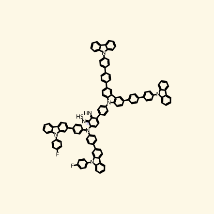 N=C1C(c2ccc(-n3c4ccc(-c5ccc(-c6ccc(-n7c8ccccc8c8ccccc87)cc6)cc5)cc4c4cc(-c5ccc(-c6ccc(-n7c8ccccc8c8ccccc87)cc6)cc5)ccc43)cc2)=CC=C(N(c2ccc(-c3ccc4c5ccccc5n(-c5ccc(F)cc5)c4c3)cc2)c2ccc(-c3ccc4c5ccccc5n(-c5ccc(F)cc5)c4c3)cc2)/C1=N/S